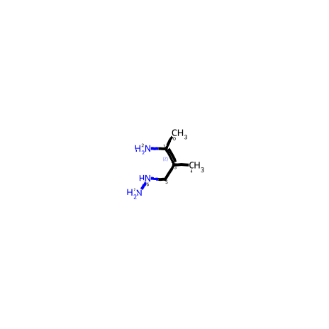 C/C(N)=C(\C)CNN